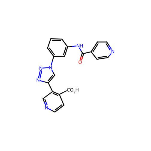 O=C(Nc1cccc(-n2cc(-c3cnccc3C(=O)O)nn2)c1)c1ccncc1